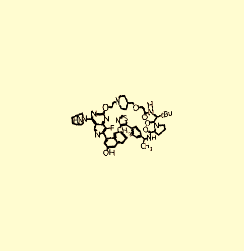 Cc1ncsc1-c1ccc(C(C)NC(=O)C2CCCN2C(=O)C(NC(=O)COCC2CCN(CCOc3nc(N4CC5CCC(C4)N5)c4cnc(-c5cc(O)cc6ccccc56)c(F)c4n3)CC2)C(C)(C)C)cc1